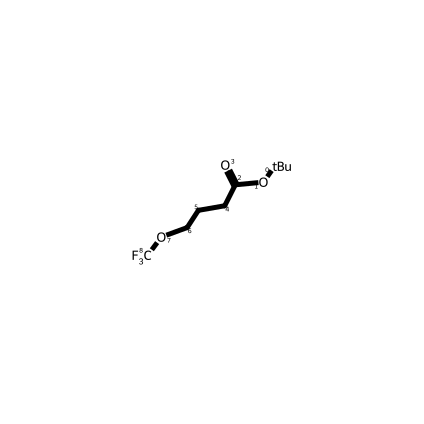 CC(C)(C)OC(=O)CCCOC(F)(F)F